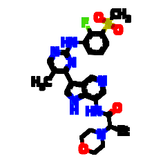 CC[C@H](C(=O)Nc1cncc2c(-c3nc(Nc4cccc(S(C)(=O)=O)c4F)ncc3C)c[nH]c12)N1CCOCC1